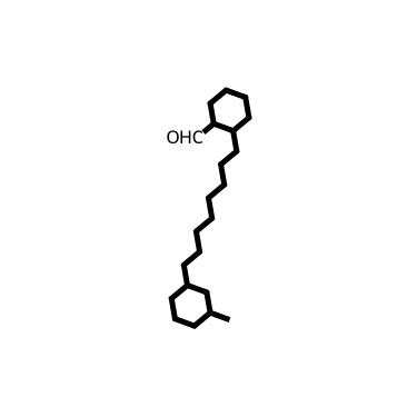 CC1CCCC(CCCCCCCCC2CCCCC2C=O)C1